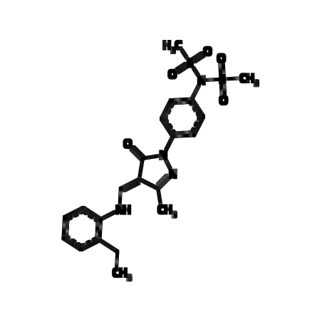 CCc1ccccc1N/C=C1/C(=O)N(c2ccc(N(S(C)(=O)=O)S(C)(=O)=O)cc2)N=C1C